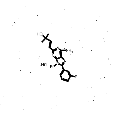 CCn1c(-c2cccc(F)c2)nc2c(N)nc(/C=C/C(C)(C)O)nc21.Cl